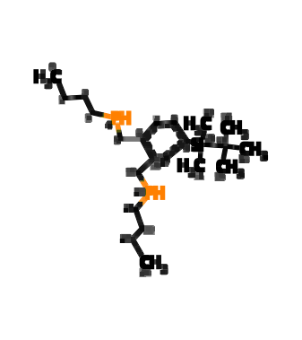 CCCCPCc1ccc([Si](C)(C)C(C)(C)C)cc1CPCCCC